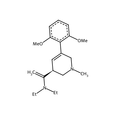 C=C([C@H]1C=C(c2c(OC)cccc2OC)CN(C)C1)N(CC)CC